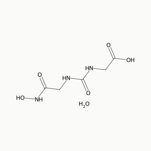 O.O=C(O)CNC(=O)NCC(=O)NO